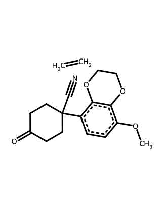 C=C.COc1ccc(C2(C#N)CCC(=O)CC2)c2c1OCCO2